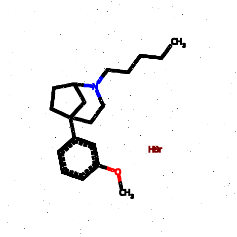 Br.CCCCCN1CCC2(c3cccc(OC)c3)CCC1C2